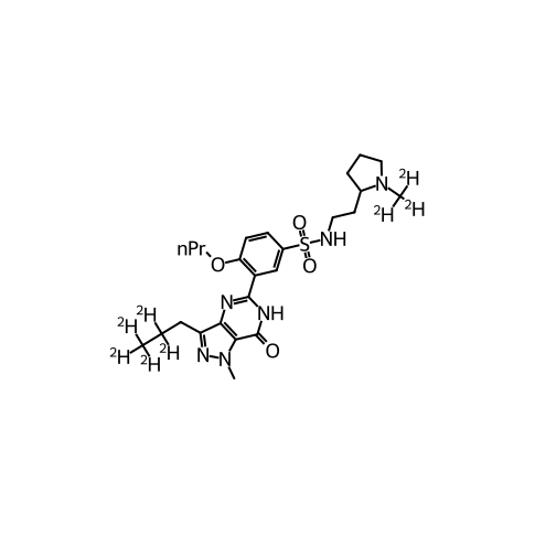 [2H]C([2H])([2H])N1CCCC1CCNS(=O)(=O)c1ccc(OCCC)c(-c2nc3c(CC([2H])([2H])C([2H])([2H])[2H])nn(C)c3c(=O)[nH]2)c1